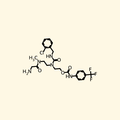 CN(CCN(CCOC(=O)Nc1ccc(C(F)(F)F)cc1)C(=O)NCc1ccccc1Cl)C(=O)CN